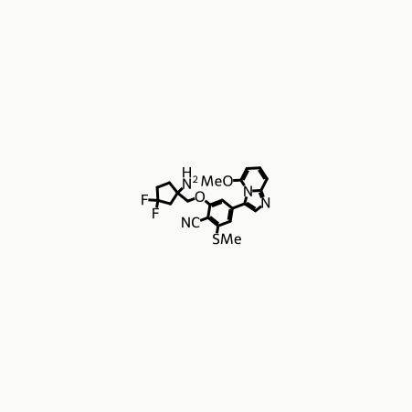 COc1cccc2ncc(-c3cc(OCC4(N)CCC(F)(F)C4)c(C#N)c(SC)c3)n12